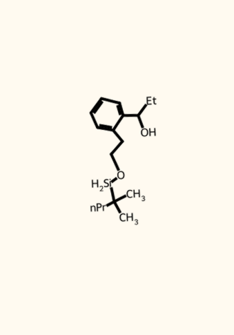 CCCC(C)(C)[SiH2]OCCc1ccccc1C(O)CC